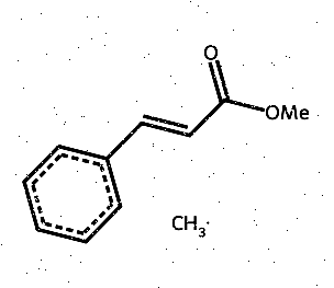 COC(=O)/C=C/c1ccccc1.[CH3]